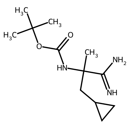 CC(C)(C)OC(=O)NC(C)(CC1CC1)C(=N)N